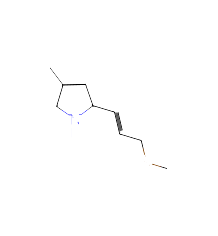 CSC/C=C/C1CC(C)CN1